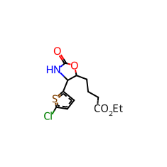 CCOC(=O)CCCC1OC(=O)NC1c1ccc(Cl)s1